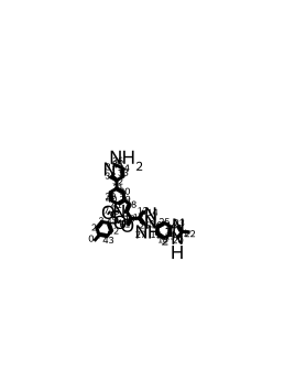 Cc1ccc(S(=O)(=O)n2c(C(=O)c3cnn(-c4ccc5[nH]c(C)nc5c4)c3N)cc3cc(-c4ccc(N)nc4)ccc32)cc1